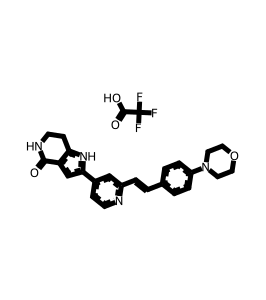 O=C(O)C(F)(F)F.O=C1NCCc2[nH]c(-c3ccnc(C=Cc4ccc(N5CCOCC5)cc4)c3)cc21